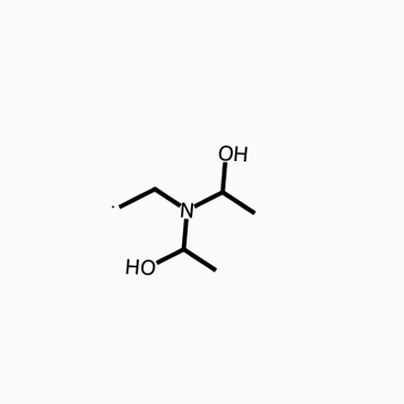 [CH2]CN(C(C)O)C(C)O